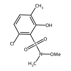 CON(C)S(=O)(=O)c1c(Cl)ccc(C)c1O